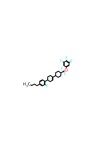 CCCCc1ccc(C2CC=C(C3CCC(C(F)(F)Oc4cc(F)c(F)c(F)c4)CC3)CC2)c(F)c1